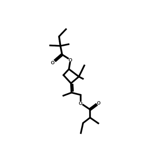 CCC(C)C(=O)OCC(C)=C1CC(OC(=O)C(C)(C)CC)C1(C)C